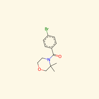 CC1(C)COCCN1C(=O)c1ccc(Br)cc1